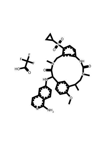 COc1ccc2cc1C(C)CN(C)C(=O)Nc1ccc(S(=O)(=O)C3CC3)c(c1)CN(C)C(=O)C2Nc1ccc2c(N)nccc2c1.O=C(O)C(F)(F)F